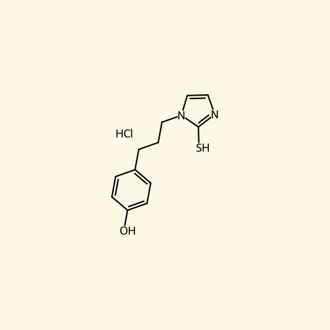 Cl.Oc1ccc(CCCn2ccnc2S)cc1